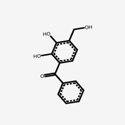 O=C(c1ccccc1)c1ccc(CO)c(O)c1O